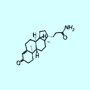 C[C@]12CC[C@H]3[C@@H](CCC4=CC(=O)CC[C@@]43C)[C@@H]1CC[C@@H]2CCC(N)=O